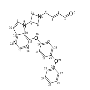 O=C/C=C/CN1CC(n2ccc3ncnc(Oc4ccc(Oc5ccccc5)cc4)c32)C1